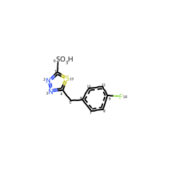 O=S(=O)(O)c1nnc(Cc2ccc(F)cc2)s1